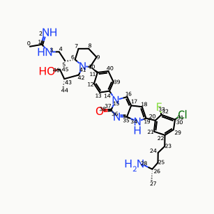 CC(=N)NCC[C@@H]1CCC[C@@H](c2ccc(-n3cc4cc(-c5cc(CCC[C@H](C)N)cc(Cl)c5F)[nH]c4nc3=O)cc2)N1C[C@H](C)CO